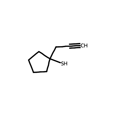 C#CCC1(S)CCCC1